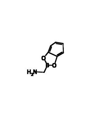 NCB1Oc2ccccc2O1